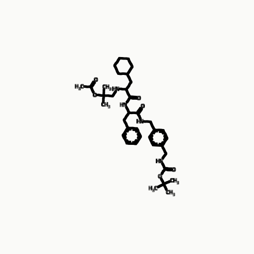 CC(=O)OC(C)(C)CNC(CC1CCCCC1)C(=O)NC(Cc1ccccc1)C(=O)NCc1ccc(CNC(=O)OC(C)(C)C)cc1